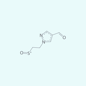 O=Cc1cnn(CC[S+]=O)c1